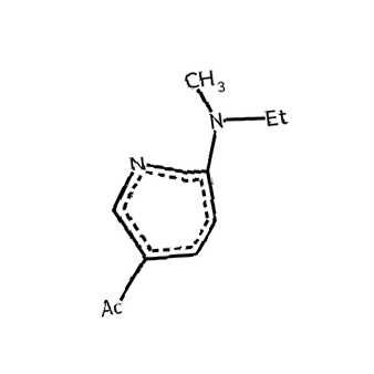 CCN(C)c1ccc(C(C)=O)cn1